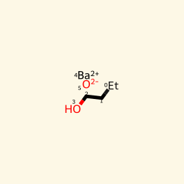 CCCCO.[Ba+2].[O-2]